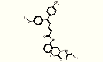 CCOc1ccc(/C(=C\C=C\C(=O)Nc2cccc3c2CC(NC(=O)OC(C)(C)C)C(=O)N3)c2ccc(C(F)(F)F)cc2)cc1